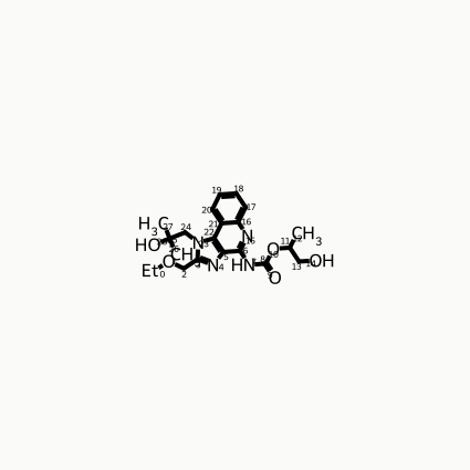 CCOCc1nc2c(NC(=O)OC(C)CO)nc3ccccc3c2n1CC(C)(C)O